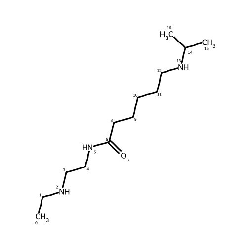 CCNCCNC(=O)CCCCCNC(C)C